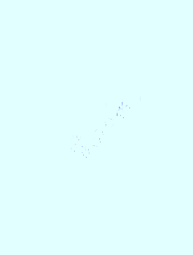 C[C@H]1CC[C@@H](c2nc(-c3ccc4cc(-c5ccc(-c6c[nH]c([C@@]7(C(C)(C)C)CC[C@H](C)N7C(=O)O)n6)cc5)ccc4c3)c[nH]2)N1C(=O)OC(C)(C)C